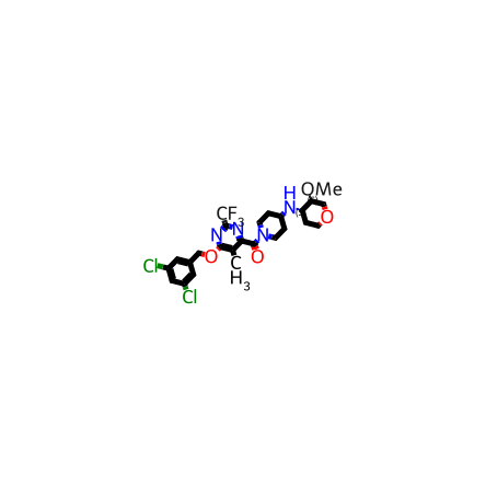 CO[C@@H]1COCC[C@@H]1NC1CCN(C(=O)c2nc(C(F)(F)F)nc(OCc3cc(Cl)cc(Cl)c3)c2C)CC1